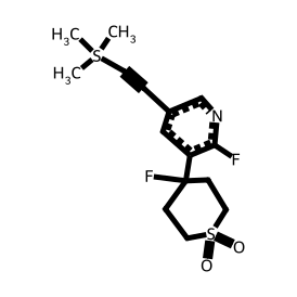 CS(C)(C)C#Cc1cnc(F)c(C2(F)CCS(=O)(=O)CC2)c1